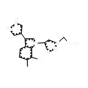 CCOC(=O)Cn1cc(-n2cc(-c3cn[nH]c3)c3ccc(Cl)c(Cl)c32)nn1